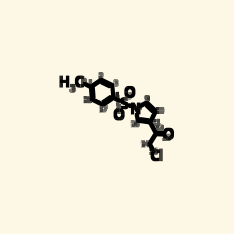 Cc1ccc(S(=O)(=O)n2ccc(C(=O)CCl)c2)cc1